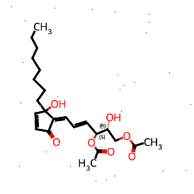 CCCCCCCCC1(O)C=CC(=O)C1=CC=C[C@H](OC(C)=O)[C@H](O)COC(C)=O